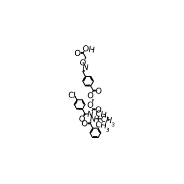 CC(C)(C)N(C(=O)c1ccccc1)N(C(=O)OCOC(=O)c1ccc(C=NOCC(=O)O)cc1)C(=O)c1ccc(Cl)cc1